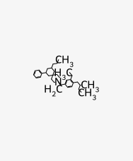 C=C(c1ccc(C[C@@H](C)CC)c(CC)c1)N1CCC2(CC1)CC(CCC)CC(c1ccccc1)C2